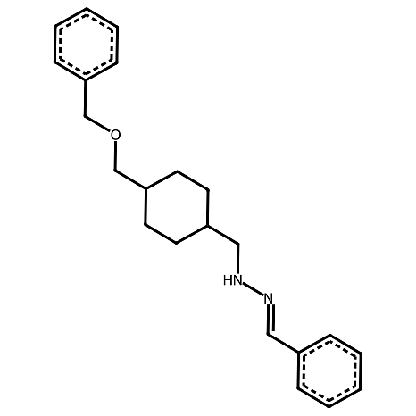 C(=NNCC1CCC(COCc2ccccc2)CC1)c1ccccc1